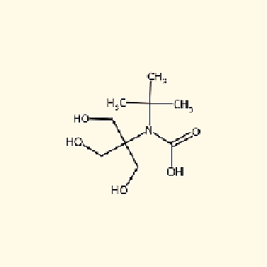 CC(C)(C)N(C(=O)O)C(CO)(CO)CO